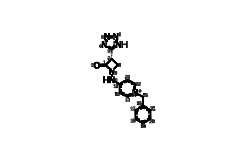 O=C1[C@H](c2nnn[nH]2)CN1Nc1cc[n+](Cc2ccccc2)cc1